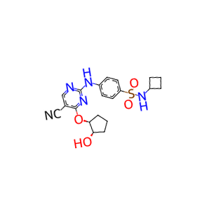 N#Cc1cnc(Nc2ccc(S(=O)(=O)NC3CCC3)cc2)nc1O[C@H]1CCC[C@H]1O